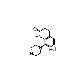 Cl.O=C1CCc2cccc(N3CCNCC3)c2N1